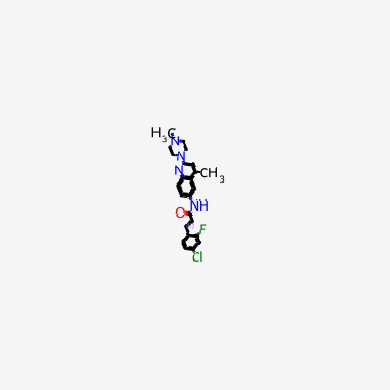 Cc1cc(N2CCN(C)CC2)nc2ccc(NC(=O)/C=C/c3ccc(Cl)cc3F)cc12